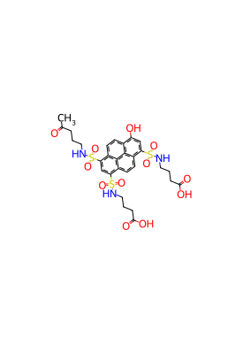 CC(=O)CCCNS(=O)(=O)c1cc(S(=O)(=O)NCCCC(=O)O)c2ccc3c(S(=O)(=O)NCCCC(=O)O)cc(O)c4ccc1c2c43